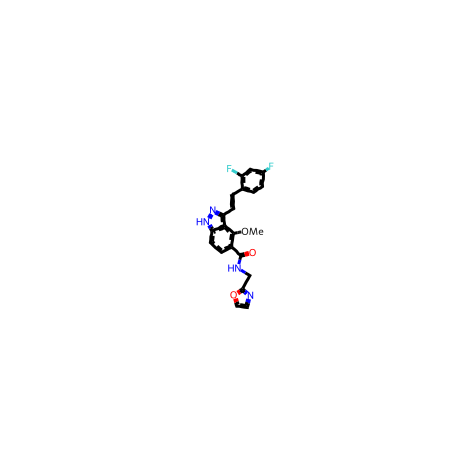 COc1c(C(=O)NCc2ncco2)ccc2[nH]nc(/C=C/c3ccc(F)cc3F)c12